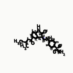 CC(C)CC(=O)c1ccc2c(c1)/C(=C/Nc1ccc(S(N)(=O)=O)cc1)C(=O)N2